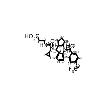 O=C(O)CCNC(=O)N(C1CC1)[C@H]1c2ccccc2N(C(=O)c2ccc(OC(F)(F)F)cc2)[C@@H]2CCC[C@@H]21